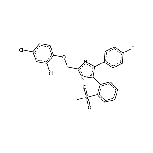 CS(=O)(=O)c1ccccc1-c1sc(COc2ccc(Cl)cc2Cl)nc1-c1ccc(F)cc1